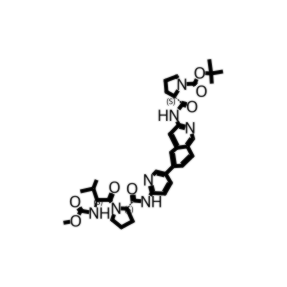 COC(=O)N[C@H](C(=O)N1CCC[C@H]1C(=O)Nc1ccc(-c2ccc3cnc(NC(=O)[C@@H]4CCCN4C(=O)OC(C)(C)C)cc3c2)cn1)C(C)C